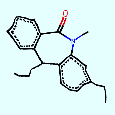 CCc1ccc2c(c1)N(C)C(=O)c1ccccc1C2CC